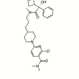 CN(C)C(=O)c1ccc(N2CCC(CCCN(C)C(=O)[C@](O)(c3ccccc3)C3CCC3)CC2)nc1Cl